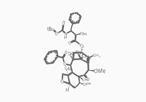 CO[C@H]1C(=O)[C@@]2(C)C(C(OC(=O)c3ccccc3)[C@]3(O)C[C@H](OC(=O)[C@H](O)C(NC(=O)OC(C)(C)C)c4ccccc4)C(C)=C1C3(C)C)[C@]1(OC(C)=O)CO[C@@H]1C[C@@H]2OC